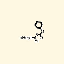 CCCCCCCC(CC)SC(=O)Oc1ccccc1